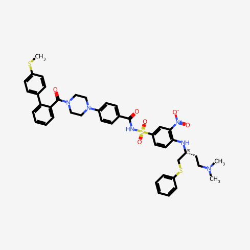 CSc1ccc(-c2ccccc2C(=O)N2CCN(c3ccc(C(=O)NS(=O)(=O)c4ccc(N[C@H](CCN(C)C)CSc5ccccc5)c([N+](=O)[O-])c4)cc3)CC2)cc1